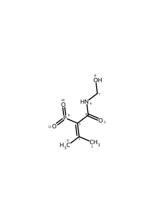 CC(C)=C(C(=O)NCO)P(=O)=O